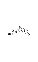 CCc1cc2c(cc1C1=CCN(C(=O)OC(C)(C)C)CC1)C(C)(C)C(=O)CC2